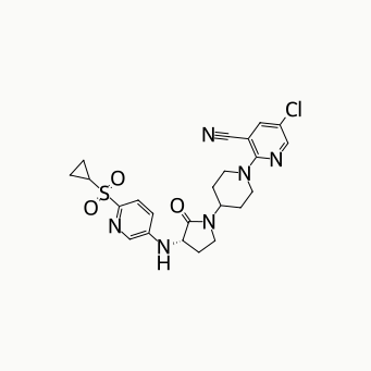 N#Cc1cc(Cl)cnc1N1CCC(N2CC[C@H](Nc3ccc(S(=O)(=O)C4CC4)nc3)C2=O)CC1